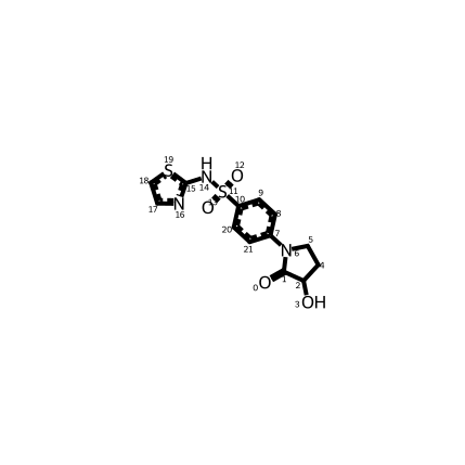 O=C1C(O)CCN1c1ccc(S(=O)(=O)Nc2nccs2)cc1